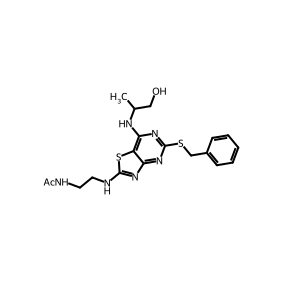 CC(=O)NCCNc1nc2nc(SCc3ccccc3)nc(NC(C)CO)c2s1